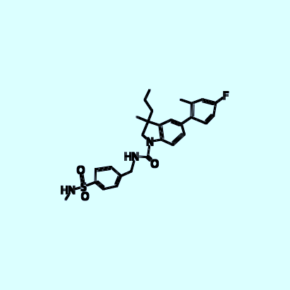 CCCC1(C)CN(C(=O)NCc2ccc(S(=O)(=O)NC)cc2)c2ccc(-c3ccc(F)cc3C)cc21